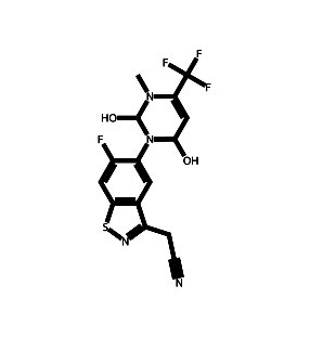 CN1C(C(F)(F)F)=CC(O)N(c2cc3c(CC#N)nsc3cc2F)C1O